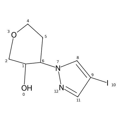 OC1COCCC1n1cc(I)cn1